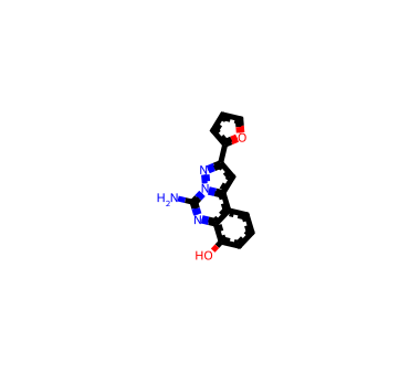 Nc1nc2c(O)cccc2c2cc(-c3ccco3)nn12